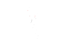 CCCCCC/C=C(\C=O)OCOCC